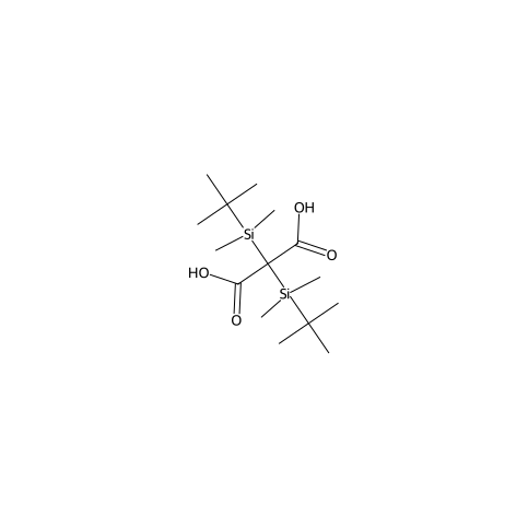 CC(C)(C)[Si](C)(C)C(C(=O)O)(C(=O)O)[Si](C)(C)C(C)(C)C